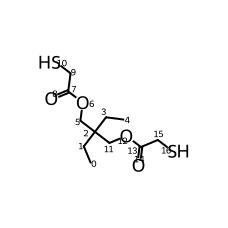 CCC(CC)(COC(=O)CS)COC(=O)CS